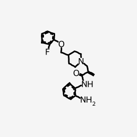 C=C(CN1CCC(COc2ccccc2F)CC1)C(=O)Nc1ccccc1N